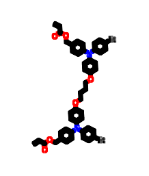 C=CC(=O)OCc1ccc(N(c2ccc(CC)cc2)c2ccc(OCCCCOc3ccc(N(c4ccc(CC)cc4)c4ccc(COC(=O)C=C)cc4)cc3)cc2)cc1